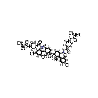 CCN(CC)C(=O)CN1CCN(C(=O)/C=C/c2ccc(Sc3ccc(/C=C/C(=O)N4CCN(CC(=O)N(CC)CC)CC4)c(-c4ccc(Cl)cc4Cl)c3[N+](=O)[O-])c([N+](=O)[O-])c2-c2ccc(Cl)cc2Cl)CC1